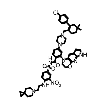 CC1(C)CCC(CN2CCN(c3ccc(C(=O)NS(=O)(=O)c4ccc(NCCN5CCC6(CC5)CC6)c([N+](=O)[O-])c4)c(N4CCOc5nc6[nH]ccc6cc54)c3)CC2)=C(c2ccc(Cl)cc2)C1